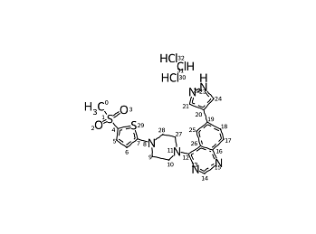 CS(=O)(=O)c1ccc(N2CCN(c3ncnc4ccc(-c5cn[nH]c5)cc34)CC2)s1.Cl.Cl.Cl